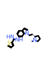 CN1CCC[C@H]1CCn1ccc2ccc(NC(=N)c3cccs3)cc21